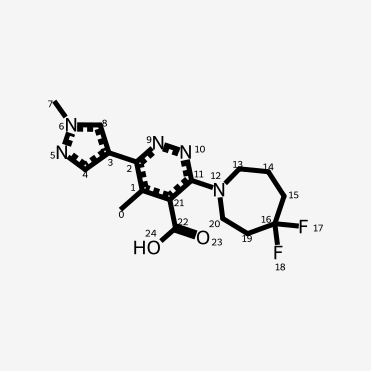 Cc1c(-c2cnn(C)c2)nnc(N2CCCC(F)(F)CC2)c1C(=O)O